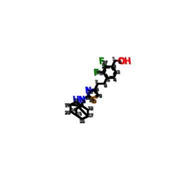 OCc1ccc(CCc2csc(NC34CC5CC(CC(C5)C3)C4)n2)c(F)c1F